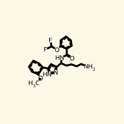 COc1ccccc1-c1cc(C(CCCCN)NC(=O)c2ccccc2OC(F)F)n[nH]1